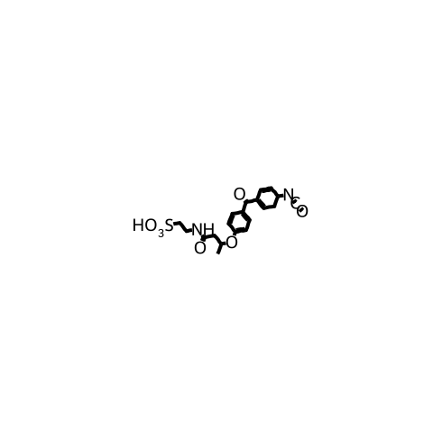 CC(CC(=O)NCCS(=O)(=O)O)Oc1ccc(C(=O)C2=CCC(N=C=O)C=C2)cc1